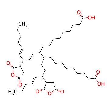 CCC/C=C/C(CCC(CCCCCCCCC(=O)O)C(CCCCCCCCC(=O)O)CCC(/C=C/CCCC)C1CC(=O)OC1=O)C1CC(=O)OC1=O